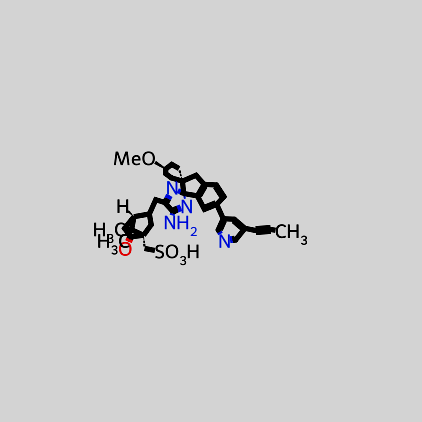 CC#Cc1cncc(-c2ccc3c(c2)[C@]2(N=C(N)C(CC4C[C@@]5(CS(=O)(=O)O)C(=O)C[C@@H]4C5(C)C)=N2)[C@]2(CC[C@H](OC)CC2)C3)c1